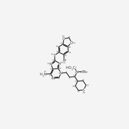 CC(C)(C)N(C(=O)O)C(CCn1cnc(N)c2nc(Sc3cc4c(cc3Br)OCO4)nc1-2)C1CCSCC1